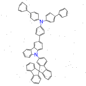 c1ccc(-c2ccc(N(c3ccc(-c4ccccc4)cc3)c3ccc(-c4ccc5c(c4)c4ccccc4n5-c4ccc5c(c4)C4(c6ccccc6-c6ccccc64)c4ccccc4-5)cc3)cc2)cc1